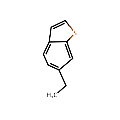 CCc1ccc2ccsc2c1